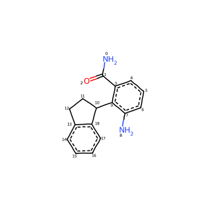 NC(=O)c1cccc(N)c1C1CCc2ccccc21